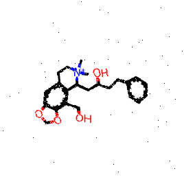 C[N+]1(C)CCc2cc3c(c(CO)c2C1CC(O)CCc1ccccc1)OCO3